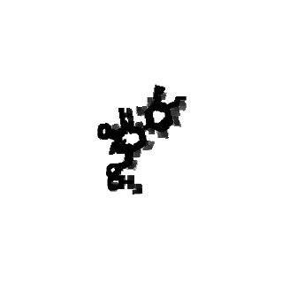 COCC1=NC(=O)N[C@H](c2ccc(F)c(F)c2)C1